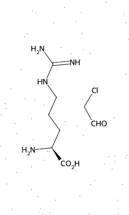 N=C(N)NCCC[C@H](N)C(=O)O.O=CCCl